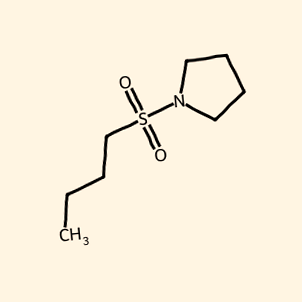 CCCCS(=O)(=O)N1CCCC1